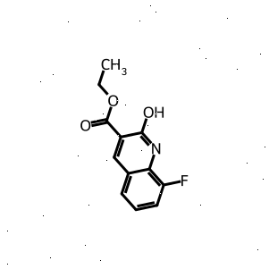 CCOC(=O)c1cc2cccc(F)c2nc1O